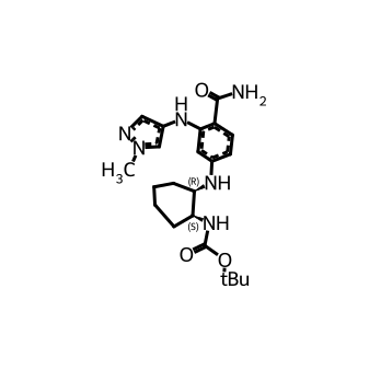 Cn1cc(Nc2cc(N[C@@H]3CCCC[C@@H]3NC(=O)OC(C)(C)C)ccc2C(N)=O)cn1